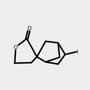 O=C1OCCC12CC1CC2CC1I